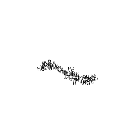 C=CC(=O)Nc1cc(Nc2nc(-c3ccnc(N4CCn5c(cc6c5CC(C)(C)C6)C4=O)c3CO)cn(C)c2=O)ccc1N1CCN(C2CCN(c3ccc4c(c3)C(=O)N(c3ccnc(C(C)(C)O)c3)C4=O)CC2)C[C@@H]1C